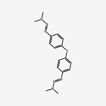 CN(C)N=Nc1ccc(Sc2ccc(N=NN(C)C)cc2)cc1